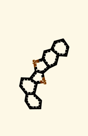 c1ccc2cc3c(cc2c1)sc1c2ccc4ccccc4c2sc31